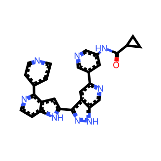 O=C(Nc1cncc(-c2cc3c(-c4cc5c(-c6ccncc6)nccc5[nH]4)n[nH]c3cn2)c1)C1CC1